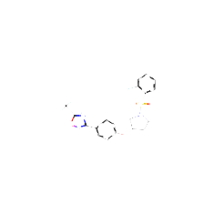 O=S(=O)(c1ccccc1F)N1CCC(Oc2ccc(-c3noc(C(F)(F)F)n3)cc2)C1